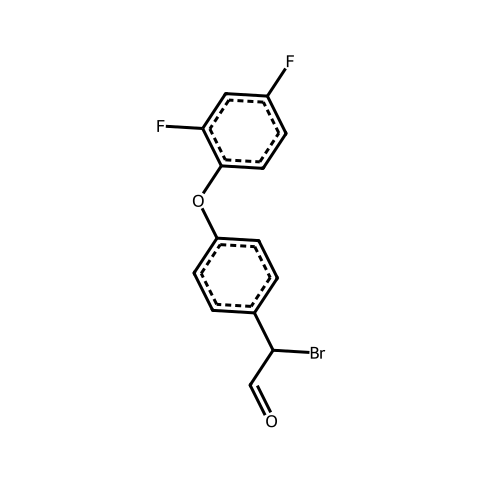 O=CC(Br)c1ccc(Oc2ccc(F)cc2F)cc1